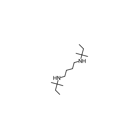 CCC(C)(C)NCCCCNC(C)(C)CC